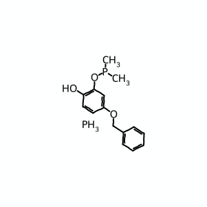 CP(C)Oc1cc(OCc2ccccc2)ccc1O.P